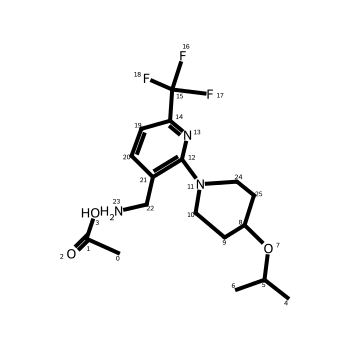 CC(=O)O.CC(C)OC1CCN(c2nc(C(F)(F)F)ccc2CN)CC1